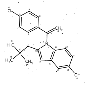 C=C(c1ccc(Cl)cc1)n1c(CC(C)(C)C)cc2cc(O)ccc21